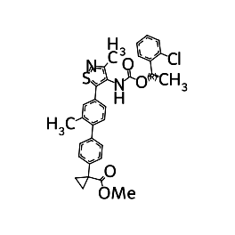 COC(=O)C1(c2ccc(-c3ccc(-c4snc(C)c4NC(=O)O[C@H](C)c4ccccc4Cl)cc3C)cc2)CC1